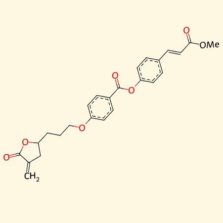 C=C1CC(CCCOc2ccc(C(=O)Oc3ccc(/C=C/C(=O)OC)cc3)cc2)OC1=O